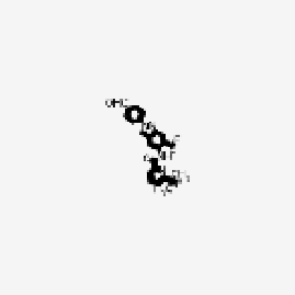 CC(C)(F)c1cccc(C(=O)Nc2cc3cn([C@H]4CC[C@H](C=O)CC4)nc3cc2C(F)F)n1